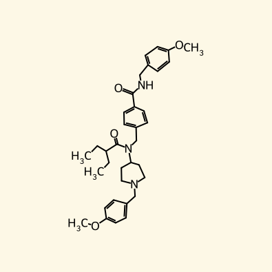 CCC(CC)C(=O)N(Cc1ccc(C(=O)NCc2ccc(OC)cc2)cc1)C1CCN(Cc2ccc(OC)cc2)CC1